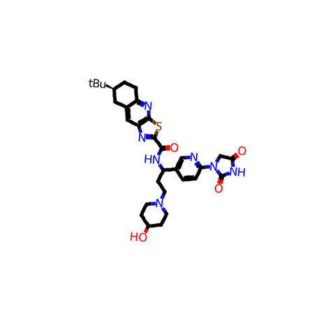 CC(C)(C)[C@H]1CCc2nc3sc(C(=O)NC(CCN4CCC(O)CC4)c4ccc(N5CC(=O)NC5=O)nc4)nc3cc2C1